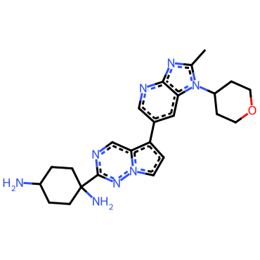 Cc1nc2ncc(-c3ccn4nc(C5(N)CCC(N)CC5)ncc34)cc2n1C1CCOCC1